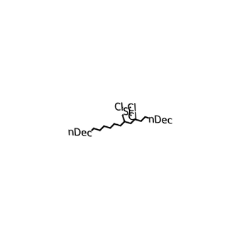 CCCCCCCCCCCCCCCCC(CCCCCCCCCCCCCC)C[Si](Cl)(Cl)Cl